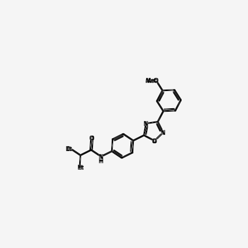 CCC(CC)C(=O)Nc1ccc(-c2nc(-c3cccc(OC)c3)no2)cc1